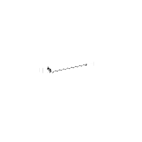 CCCCCCCCCCCCCCCCCCN(C)CC(O)O